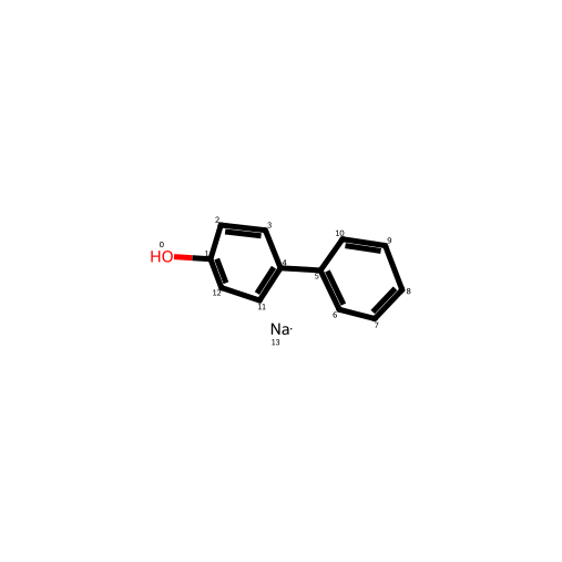 Oc1ccc(-c2ccccc2)cc1.[Na]